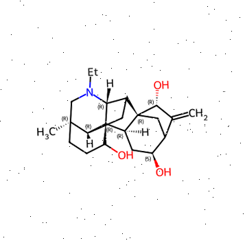 C=C1C2C[C@@]3(C4C[C@@H]5[C@@]6(C)CCC(O)[C@]5([C@@H]3C[C@@H]2O)[C@@H]4N(CC)C6)[C@@H]1O